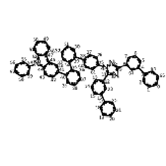 c1ccc(-c2cccc(-c3nc(-c4cccc(-c5ccccc5)c4)n(-c4ccc(-c5ccccc5-c5ccccc5-c5ccc6c(c5)c5ccccc5n6-c5ccccc5)cc4)n3)c2)cc1